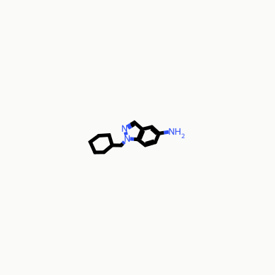 Nc1ccc2c(cnn2CC2CCCCC2)c1